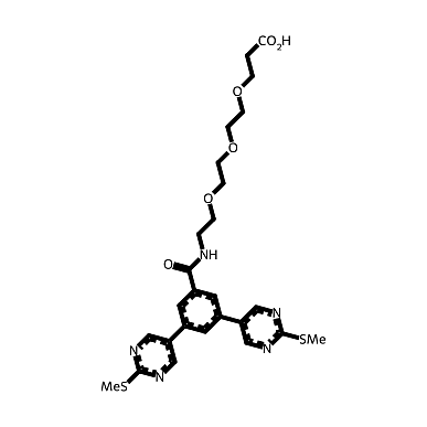 CSc1ncc(-c2cc(C(=O)NCCOCCOCCOCCC(=O)O)cc(-c3cnc(SC)nc3)c2)cn1